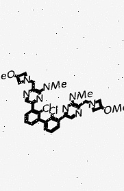 CNc1nc(-c2cccc(-c3cccc(-c4cnc(CN5CC(OC)C5)c(NC)n4)c3Cl)c2Cl)cnc1CN1CC(OC)C1